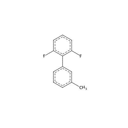 Cc1cccc(-c2c(F)cccc2F)c1